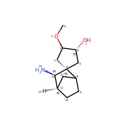 COC1C[C@]2(C[C@H]1O)C1CC[C@H](C1)[C@H]2N